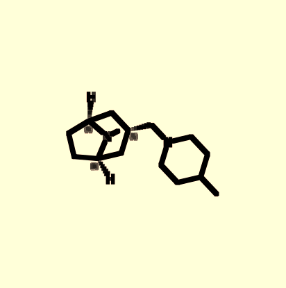 CC1CCN(C[C@@H]2C[C@H]3CC[C@@H](C2)N3C)CC1